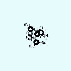 CC(C)(C)c1cc(N2c3cc4c(cc3B3c5ccc(C(C)(C)C)cc5Oc5ncnc2c53)C(C)(C)CCC4(C)C)cc(C(C)(C)C)c1